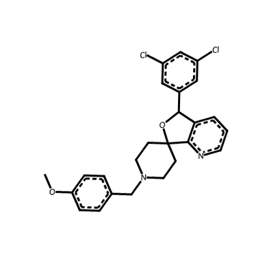 COc1ccc(CN2CCC3(CC2)OC(c2cc(Cl)cc(Cl)c2)c2cccnc23)cc1